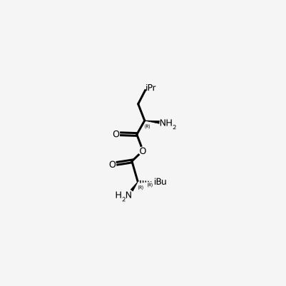 CC[C@@H](C)[C@@H](N)C(=O)OC(=O)[C@H](N)CC(C)C